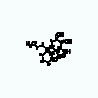 CCCCN1CC(O)C(O)C(O)C1(C(=O)O)N1CCCCC1